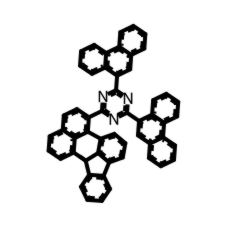 CC12c3ccccc3-c3cccc(c31)-c1c(-c3nc(-c4cc5ccccc5c5ccccc45)nc(-c4cc5ccccc5c5ccccc45)n3)ccc3cccc2c13